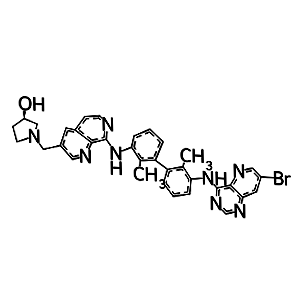 Cc1c(Nc2nccc3cc(CN4CC[C@@H](O)C4)cnc23)cccc1-c1cccc(Nc2ncnc3cc(Br)cnc23)c1C